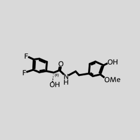 COc1cc(CCNC(=O)[C@H](O)c2ccc(F)c(F)c2)ccc1O